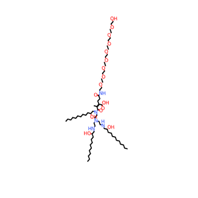 CCCCCCCCCCC(O)CNCCN(CCNCC(O)CCCCCCCCCC)CCN(CC(O)CCCCCCCCCC)C(=O)/C(C)=C(/CCC(=O)NCCOCCOCCOCCOCCOCCOCCOCCOCCO)C(=O)O